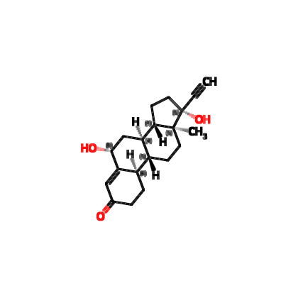 C#C[C@]1(O)CC[C@H]2[C@@H]3C[C@@H](O)C4=CC(=O)CC[C@@H]4[C@H]3CC[C@@]21C